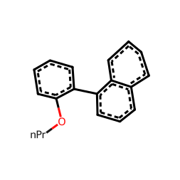 CCCOc1ccccc1-c1cccc2ccccc12